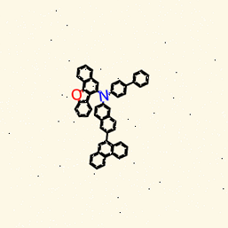 c1ccc(-c2ccc(N(c3ccc4cc(-c5cc6ccccc6c6ccccc56)ccc4c3)c3cc4ccccc4c4oc5ccccc5c34)cc2)cc1